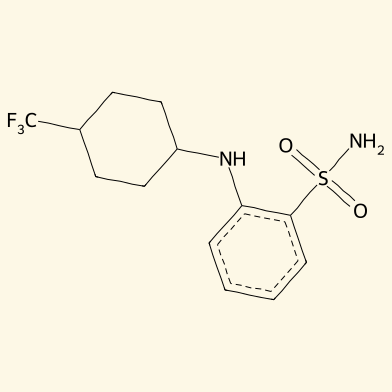 NS(=O)(=O)c1ccccc1NC1CCC(C(F)(F)F)CC1